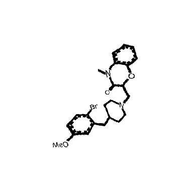 COc1ccc(Br)c(CC2CCN(CC3Oc4ccccc4N(C)C3=O)CC2)c1